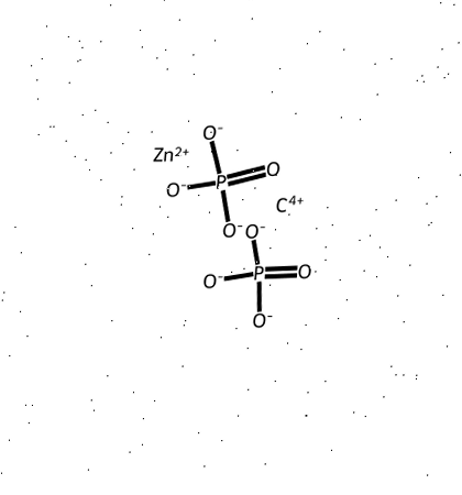 O=P([O-])([O-])[O-].O=P([O-])([O-])[O-].[C+4].[Zn+2]